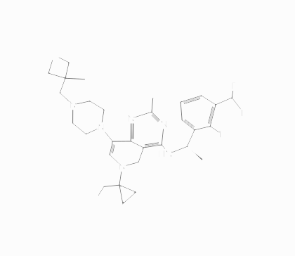 Cc1nc(N[C@H](C)c2cccc(C(F)F)c2F)c2c(n1)C(N1CCN(CC3(C)COC3)CC1)=CN(C1(CF)CC1)C2